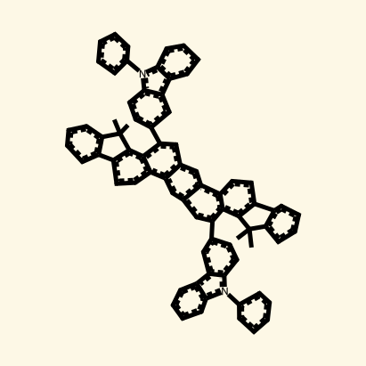 CC1(C)c2ccccc2-c2ccc3c(c(-c4ccc5c(c4)c4ccccc4n5-c4ccccc4)cc4cc5c(cc(-c6ccc7c(c6)c6ccccc6n7-c6ccccc6)c6c7c(ccc65)-c5ccccc5C7(C)C)cc43)c21